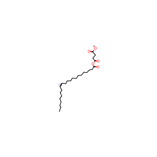 CCCCCCCC/C=C\CCCCCCCCCCCC(=O)OC(=O)CCC(=O)OC